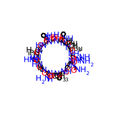 CCCC[C@H]1C(=O)N(C)[C@@H](CCCC)C(=O)N[C@@H](CCCNC(=N)N)C(=O)N[C@H](C(=O)NCC(N)=O)CSCC(=O)N[C@@H](Cc2ccccc2)C(=O)N(C)[C@@H](C)C(=O)N[C@@H](CC(N)=O)C(=O)N2CCC[C@H]2C(=O)N[C@@H](Cc2c[nH]cn2)C(=O)N[C@@H](CC(C)C)C(=O)N(C)CC(=O)N[C@@H](Cc2c[nH]c3ccccc23)C(=O)N[C@@H](CO)C(=O)N[C@@H](Cc2c[nH]c3ccccc23)C(=O)N1C